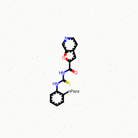 CCCCCc1ccccc1NC(=S)NC(=O)c1cc2ccncc2o1